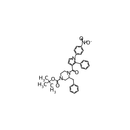 CC(C)(C)OC(=O)N1CCN(C(=O)c2ccn(-c3ccc([N+](=O)[O-])cc3)c2-c2ccccc2)C(Cc2ccccc2)C1